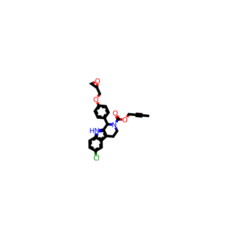 CC#CCOC(=O)N1CCc2c([nH]c3ccc(Cl)cc23)C1c1ccc(OCC2CO2)cc1